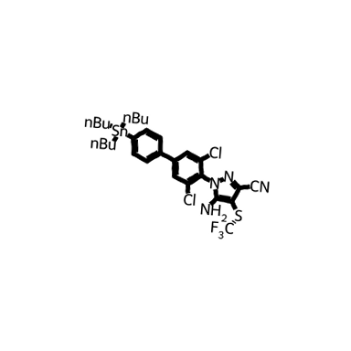 CCC[CH2][Sn]([CH2]CCC)([CH2]CCC)[c]1ccc(-c2cc(Cl)c(-n3nc(C#N)c(SC(F)(F)F)c3N)c(Cl)c2)cc1